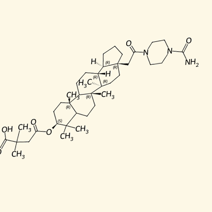 CC(C)(CC(=O)O[C@H]1CC[C@@]2(C)C(CC[C@]3(C)C2CC[C@@H]2[C@H]4CCC[C@]4(CC(=O)N4CCN(C(N)=O)CC4)CC[C@]23C)C1(C)C)C(=O)O